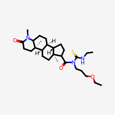 CCNC(=S)N(CCCOCC)C(=O)C1CC[C@H]2[C@@H]3CCC4N(C)C(=O)CC[C@]4(C)[C@@H]3CC[C@]12C